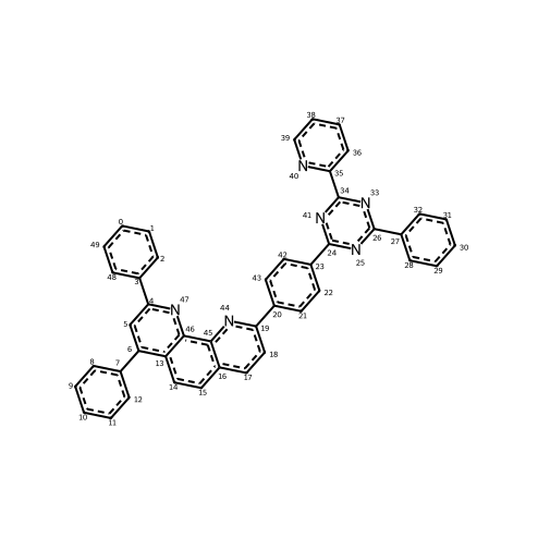 c1ccc(-c2cc(-c3ccccc3)c3ccc4ccc(-c5ccc(-c6nc(-c7ccccc7)nc(-c7ccccn7)n6)cc5)nc4c3n2)cc1